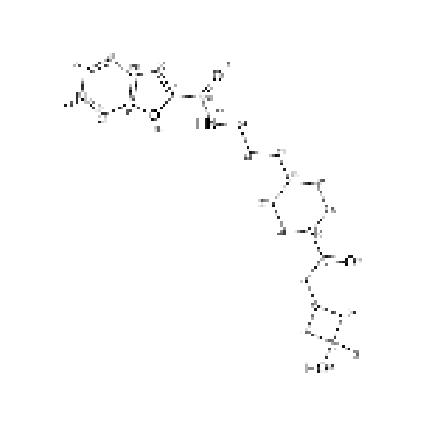 CC1(O)CC(CC(=O)N2CCC(CCCNC(=O)c3cc4ccncc4o3)CC2)C1